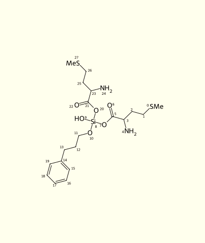 CSCCC(N)C(=O)O[Si](O)(OCCCc1ccccc1)OC(=O)C(N)CCSC